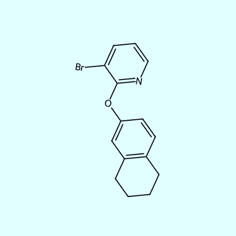 Brc1cccnc1Oc1ccc2c(c1)CCCC2